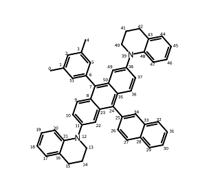 Cc1cc(C)cc(-c2c3ccc(N4CCCc5ccccc54)cc3c(-c3ccc4ccccc4c3)c3ccc(N4CCCc5ccccc54)cc23)c1